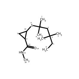 CCC(C)(C)CC(C)(C)SC1CC1C(=O)NC